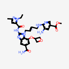 CCn1nc(C)cc1C(=O)Nc1nc2cc(C(N)=O)cc(OC3COC3)c2n1C/C=C/CNc1ncc(C(=O)OC)cc1N